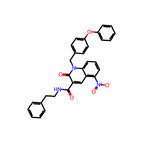 O=C(NCCc1ccccc1)c1cc2c([N+](=O)[O-])cccc2n(Cc2ccc(Oc3ccccc3)cc2)c1=O